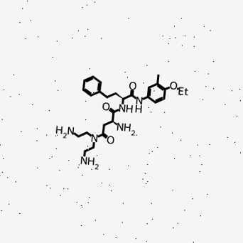 CCOc1ccc(NC(=O)[C@H](CCc2ccccc2)NC(=O)[C@@H](N)CC(=O)N(CCN)CCN)cc1C